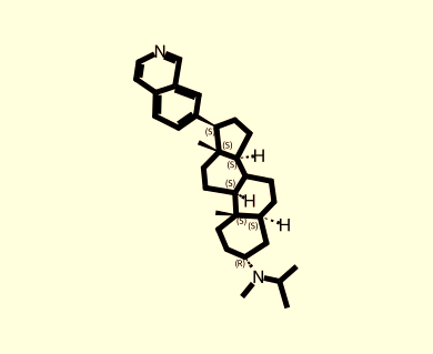 CC(C)N(C)[C@@H]1CC[C@@]2(C)[C@@H](CCC3[C@@H]2CC[C@]2(C)[C@@H](c4ccc5ccncc5c4)CC[C@@H]32)C1